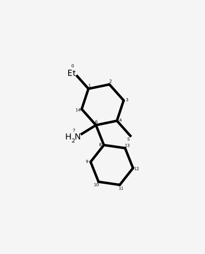 CCC1CCC(C)C(N)(C2CCCCC2)C1